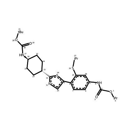 CC(C)OC(=O)Nc1ccc(-c2cnc([C@H]3CC[C@H](NC(=O)OC(C)(C)C)CC3)s2)c(SC(C)C)c1